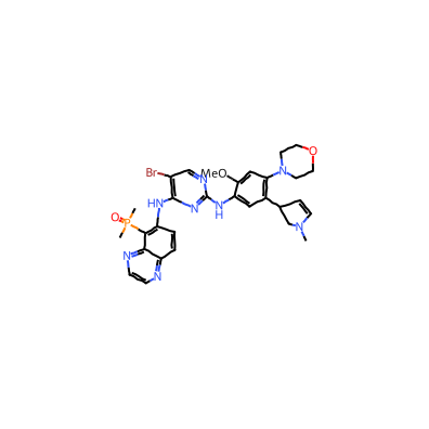 COc1cc(N2CCOCC2)c(C2C=CN(C)C2)cc1Nc1ncc(Br)c(Nc2ccc3nccnc3c2P(C)(C)=O)n1